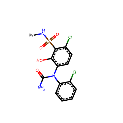 CC(C)NS(=O)(=O)c1c(Cl)ccc(N(C(N)=O)c2ccccc2Cl)c1O